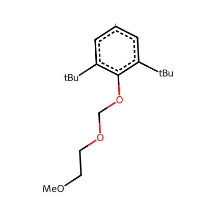 COCCOCOc1c(C(C)(C)C)c[c]cc1C(C)(C)C